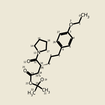 CCOc1ccc(CCC[C@@H](C(=O)N2CCCC2)[C@@H]2OC(C)(C)OC2=O)cc1